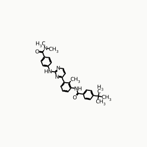 Cc1c(NC(=O)c2ccc(C(C)(C)C)cc2)cccc1-c1ccnc(Nc2ccc(C(=O)N(C)C)cc2)n1